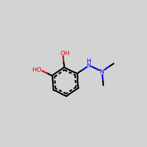 CN(C)Nc1cccc(O)c1O